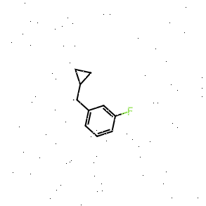 Fc1cccc([CH]C2CC2)c1